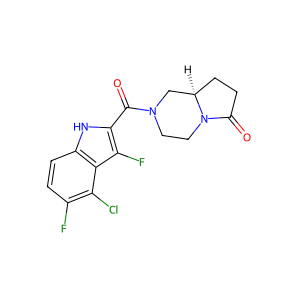 O=C(c1[nH]c2ccc(F)c(Cl)c2c1F)N1CCN2C(=O)CC[C@@H]2C1